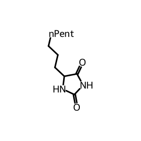 CCCCCCCCC1NC(=O)NC1=O